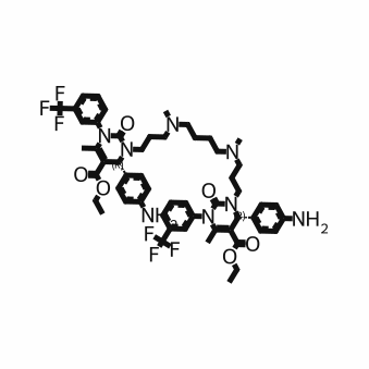 CCOC(=O)C1=C(C)N(c2cccc(C(F)(F)F)c2)C(=O)N(CCCN(C)CCCCN(C)CCCN2C(=O)N(c3cccc(C(F)(F)F)c3)C(C)=C(C(=O)OCC)[C@H]2c2ccc(N)cc2)[C@@H]1c1ccc(N)cc1